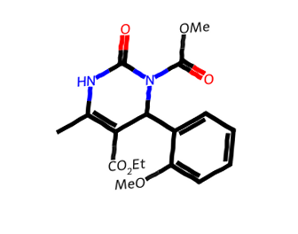 CCOC(=O)C1=C(C)NC(=O)N(C(=O)OC)C1c1ccccc1OC